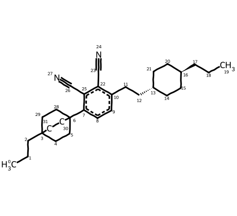 CCCC12CCC(c3ccc(CC[C@H]4CC[C@H](CCC)CC4)c(C#N)c3C#N)(CC1)CC2